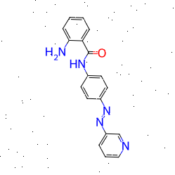 Nc1ccccc1C(=O)Nc1ccc(N=Nc2cccnc2)cc1